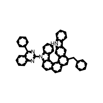 c1ccc(Cc2cc3ccc4ccc5c(c6ccccc6n5-c5nc(-c6ccccc6)c6ccccc6n5)c4c3c3cc4[nH]c5ccccc5c4cc23)cc1